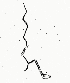 CCCCCN=NC(C)C=C=O